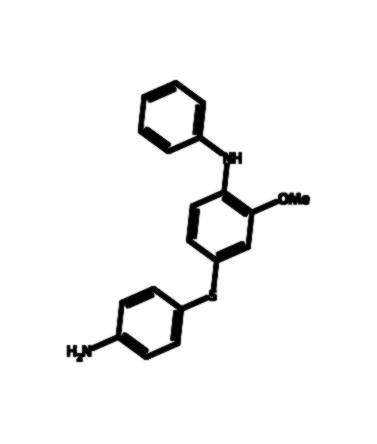 COc1cc(Sc2ccc(N)cc2)ccc1Nc1ccccc1